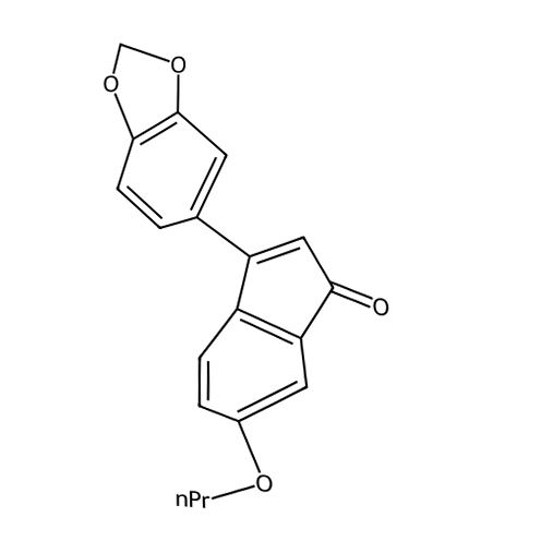 CCCOc1ccc2c(c1)C(=O)C=C2c1ccc2c(c1)OCO2